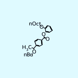 CCCCCCCCOc1ccccc1OC(=O)c1ccc(C(C)OCCCC)cc1